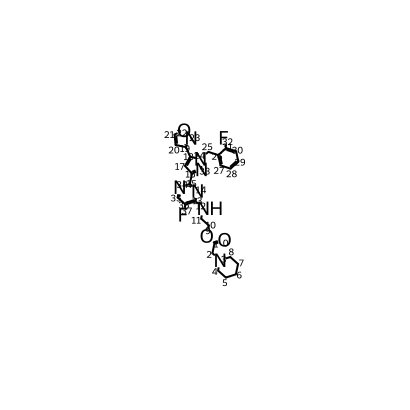 O=C(CN1CCCCC1)OCCNc1nc(-c2cc(-c3ccon3)n(Cc3ccccc3F)n2)ncc1F